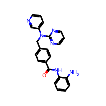 Nc1ccccc1NC(=O)c1ccc(CN(c2cccnc2)c2ncccn2)cc1